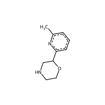 Cc1cccc(C2CNCCO2)n1